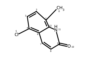 Cc1ccc(Cl)c2ccc(=O)[nH]c12